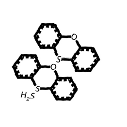 S.c1ccc2c(c1)Oc1ccccc1S2.c1ccc2c(c1)Oc1ccccc1S2